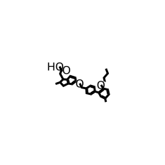 CCCCOc1ccc(C)cc1-c1ccc(COc2ccc3c(c2)CC(C)C3CC(=O)O)cc1